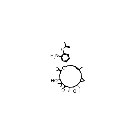 C=C(C)Oc1ccc([C@@H]2C/C=C(/C)CC3CC3[C@H](C)[C@H](O)[C@@H](C)C(=O)C(C)(C)[C@@H](O)CC(=O)O2)cc1N